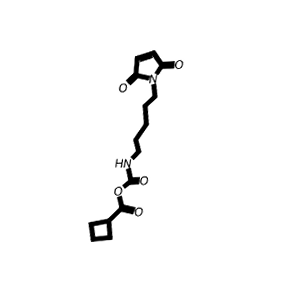 O=C(NCCCCCN1C(=O)C=CC1=O)OC(=O)C1CCC1